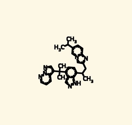 CC(C)c1ccc2nc(CC(C)c3ccc(C(C)(C)c4cnn5ncccc45)c4cn[nH]c34)cn2c1